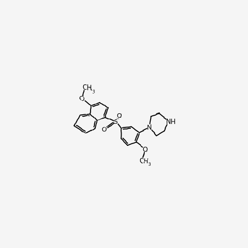 COc1ccc(S(=O)(=O)c2ccc(OC)c3ccccc23)cc1N1CCNCC1